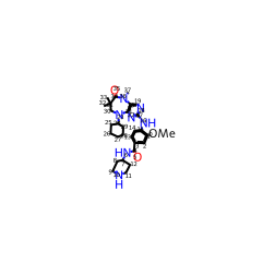 COc1cc(C(=O)NC2CCNCC2)ccc1Nc1ncc2c(n1)N(C1CCCCC1)CC(C)(C)C(=O)N2C